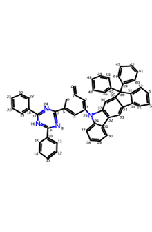 C=C/C=C(\C=C(/C)c1nc(-c2ccccc2)nc(-c2ccccc2)n1)n1c2ccccc2c2cc3c(cc21)C(c1ccccc1)(c1ccccc1)c1ccccc1-3